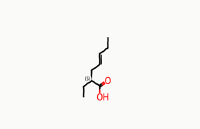 CCC=CC[C@H](CC)C(=O)O